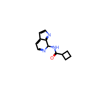 O=C(NC1N=CC=C2C=CN=C21)C1CCC1